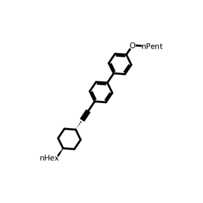 CCCCCC[C@H]1CC[C@H](C#Cc2ccc(-c3ccc(OCCCCC)cc3)cc2)CC1